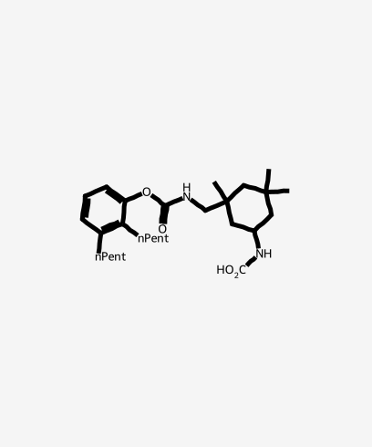 CCCCCc1cccc(OC(=O)NCC2(C)CC(NC(=O)O)CC(C)(C)C2)c1CCCCC